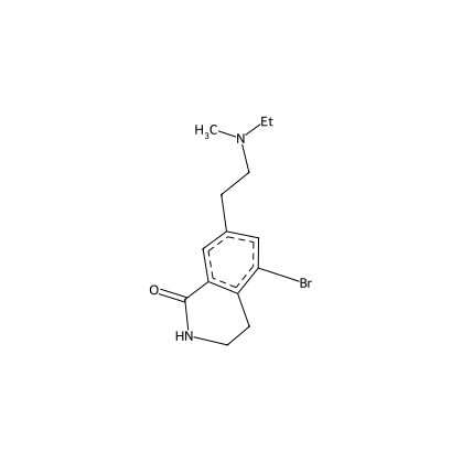 CCN(C)CCc1cc(Br)c2c(c1)C(=O)NCC2